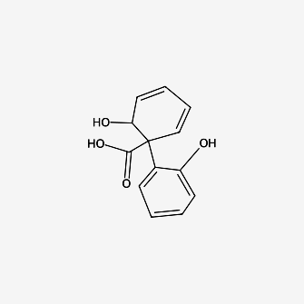 O=C(O)C1(c2ccccc2O)C=CC=CC1O